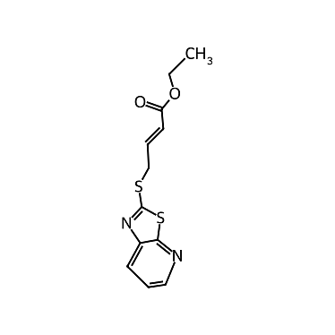 CCOC(=O)C=CCSc1nc2cccnc2s1